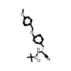 COc1ccc(COc2ccc(C[C@H](C#N)N[S@@+]([O-])C(C)(C)C)cc2)cc1